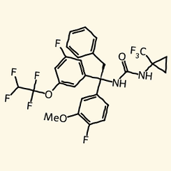 COc1cc([C@@](Cc2ccccc2)(NC(=O)NC2(C(F)(F)F)CC2)c2cc(F)cc(OC(F)(F)C(F)F)c2)ccc1F